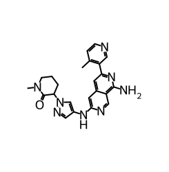 Cc1ccncc1-c1cc2cc(Nc3cnn(C4CCCN(C)C4=O)c3)ncc2c(N)n1